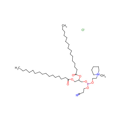 CCCCCCCCCCCCCCCC(=O)OCC(COP(OCCC#N)OCC[N+]1(C)CCCCC1)OC(=O)CCCCCCCCCCCCCCC.[Cl-]